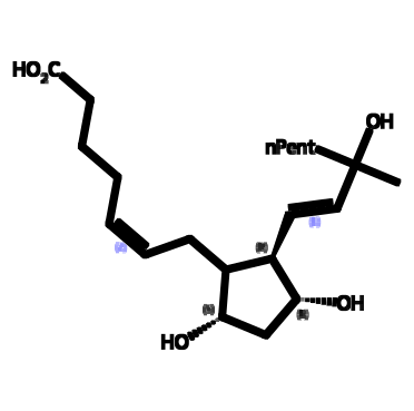 CCCCCC(C)(O)/C=C/[C@@H]1C(C/C=C\CCCC(=O)O)[C@@H](O)C[C@H]1O